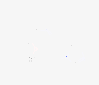 Cn1cncc1CC=Nc1ccccc1O[SiH](C)C